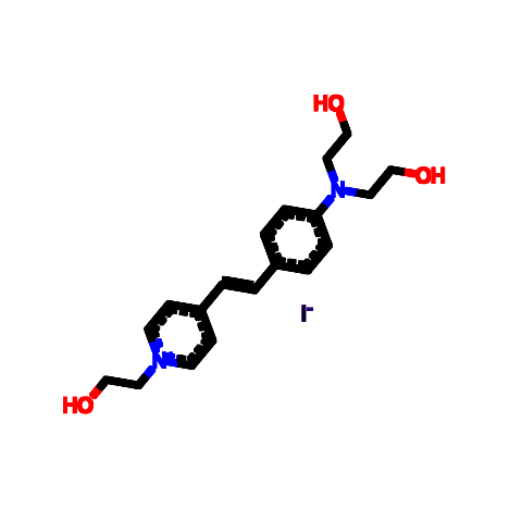 OCCN(CCO)c1ccc(/C=C/c2cc[n+](CCO)cc2)cc1.[I-]